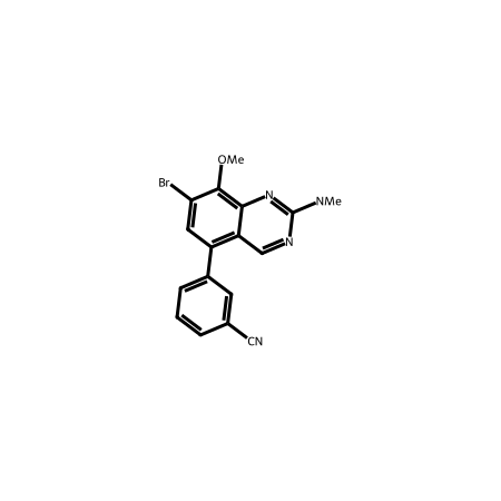 CNc1ncc2c(-c3cccc(C#N)c3)cc(Br)c(OC)c2n1